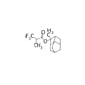 CC(C(=O)OC1(C)C2CC3CC(C2)CC1C3)C(F)(F)F